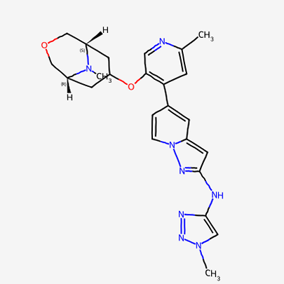 Cc1cc(-c2ccn3nc(Nc4cn(C)nn4)cc3c2)c(OC2C[C@H]3COC[C@@H](C2)N3C)cn1